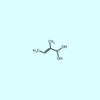 CC=C(C)B(O)O